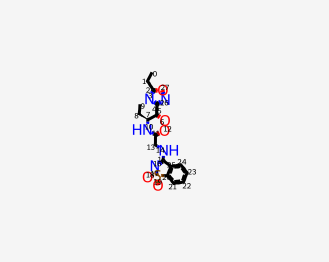 CCc1nc(C(=O)[C@H](CC)NC(=O)CNC2=NS(=O)(=O)c3ccccc32)no1